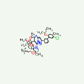 C=CCOC1(C)CCN(c2c([C@H](OC(C)(C)C)C(=O)OC)c(C)nc3cc(-c4cccc(-c5cc(Cl)c(C)cc5O[C@@H](C)CC=C)c4)nn23)CC1